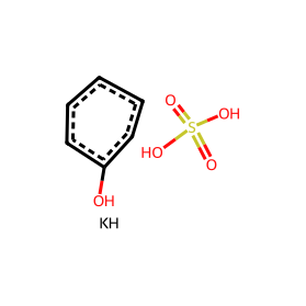 O=S(=O)(O)O.Oc1ccccc1.[KH]